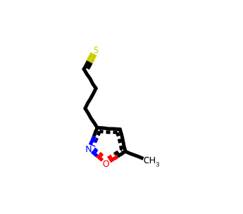 Cc1cc(CCC=S)no1